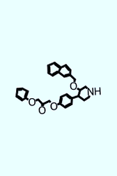 O=C(COc1ccccc1)COc1ccc(C2CCNCC2OCc2ccc3ccccc3c2)cc1